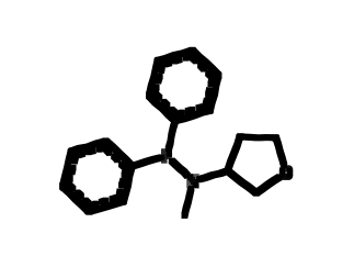 CN(C1CCOC1)P(c1ccccc1)c1ccccc1